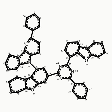 c1ccc(-c2ccc3c(c2)c2ccccc2n3-c2cc(-c3nc(-c4ccccc4)nc(-c4cccc5c4oc4ccccc45)n3)cc3oc4ccccc4c23)cc1